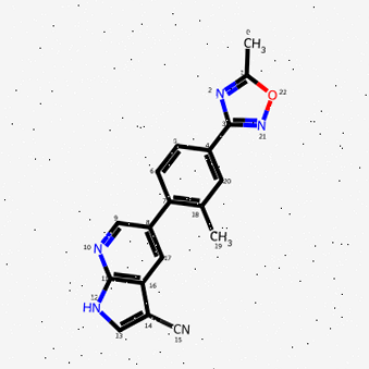 Cc1nc(-c2ccc(-c3cnc4[nH]cc(C#N)c4c3)c(C)c2)no1